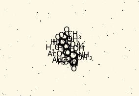 CC(=O)O[C@H]1[C@@H]2[C@H]([C@H](C)[C@H]3O[C@]34OC(=O)[C@@](C)(O)[C@]24C)[C@]2(C)[C@@H]1C1C([C@H](OC(C)=O)[C@@H]2OC(C)=O)[C@@]2(C)[C@@H](O)[C@H]3O[C@H]3C[C@]2(O)[C@H](N)[C@@H]1O